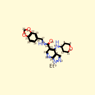 CCn1ncc2c(NC3CCOCC3)c(C(=O)NCc3ccc4c(c3)OCO4)cnc21